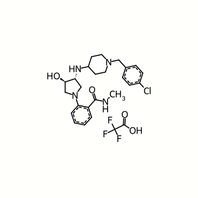 CNC(=O)c1ccccc1N1C[C@@H](O)[C@H](NC2CCN(Cc3ccc(Cl)cc3)CC2)C1.O=C(O)C(F)(F)F